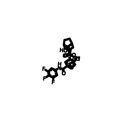 O=C(CC1(O)C2CCC1CC(S(=O)(=O)c1cc(C(=O)Nc3cc(F)c(F)c(F)c3)ccc1Cl)C2)NC1COC1